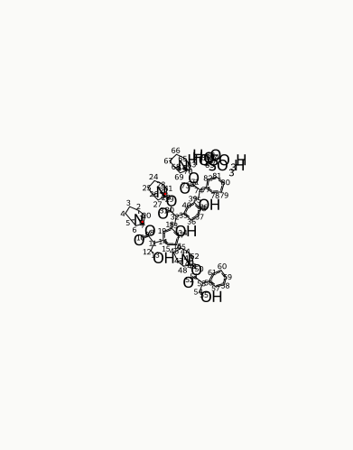 CN1C2CCC1CC(OC(=O)C(CO)c1ccccc1)C2.CN1C2CCC1CC(OC(=O)C(CO)c1ccccc1)C2.CN1C2CCC1CC(OC(=O)C(CO)c1ccccc1)C2.CN1C2CCC1CC(OC(=O)C(CO)c1ccccc1)C2.O.O=S(=O)(O)O.O=S(=O)(O)O